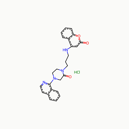 Cl.O=C1CN(c2nccc3ccccc23)CCN1CCCNc1cc(=O)oc2ccccc12